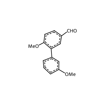 COc1cccc(-c2cc(C=O)ccc2OC)c1